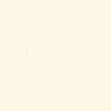 CCCCC(CC)COC(=O)CCSc1cnc(N2CCC3(CC2)Cc2ccccc2[C@H]3N[S+]([O-])C(C)(C)C)c(C)n1